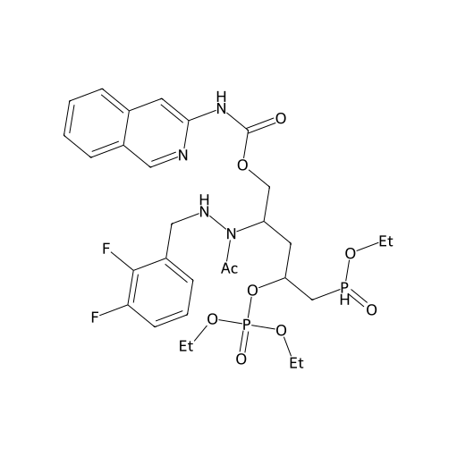 CCO[PH](=O)CC(CC(COC(=O)Nc1cc2ccccc2cn1)N(NCc1cccc(F)c1F)C(C)=O)OP(=O)(OCC)OCC